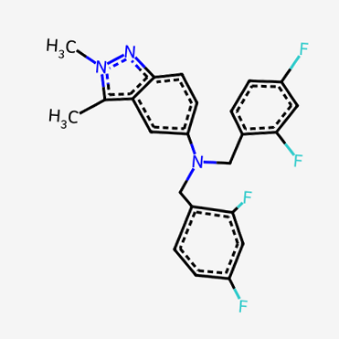 Cc1c2cc(N(Cc3ccc(F)cc3F)Cc3ccc(F)cc3F)ccc2nn1C